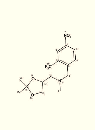 CN(Cc1ccc([N+](=O)[O-])cc1C(F)(F)F)CC1COC(C)(C)O1